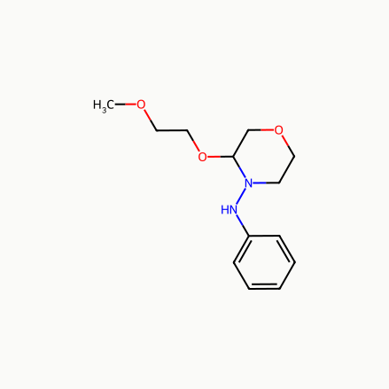 COCCOC1COCCN1Nc1ccccc1